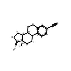 C#Cc1ccc2c(c1)CCC1C2CC[C@]2(C)C(=O)CCC12